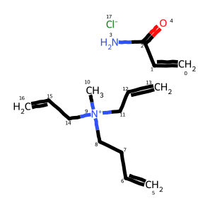 C=CC(N)=O.C=CCC[N+](C)(CC=C)CC=C.[Cl-]